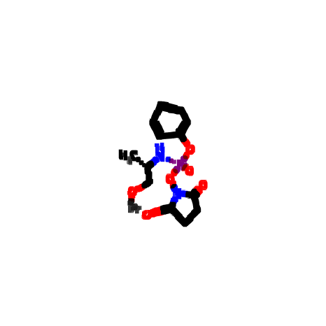 CC(C)OC[C@H](C)N[P@@](=O)(Oc1ccccc1)ON1C(=O)CCC1=O